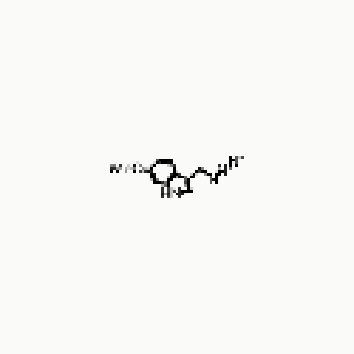 COc1ccc2c(CN=[N+]=[N-])c[nH]c2c1